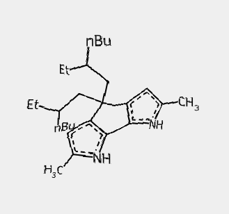 CCCCC(CC)CC1(CC(CC)CCCC)c2cc(C)[nH]c2-c2[nH]c(C)cc21